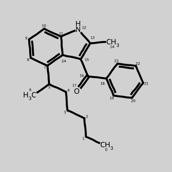 CCCCCC(C)c1cccc2[nH]c(C)c(C(=O)c3ccccc3)c12